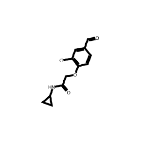 O=Cc1ccc(OCC(=O)NC2CC2)c(Cl)c1